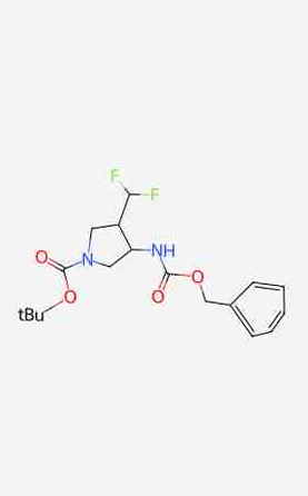 CC(C)(C)OC(=O)N1CC(NC(=O)OCc2ccccc2)C(C(F)F)C1